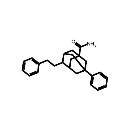 NC(=O)C12CC3CC(c4ccccc4)(CC(C1)C3CCc1ccccc1)C2